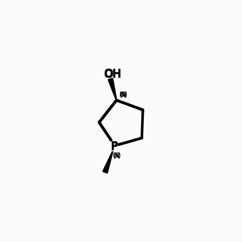 C[P@]1CC[C@H](O)C1